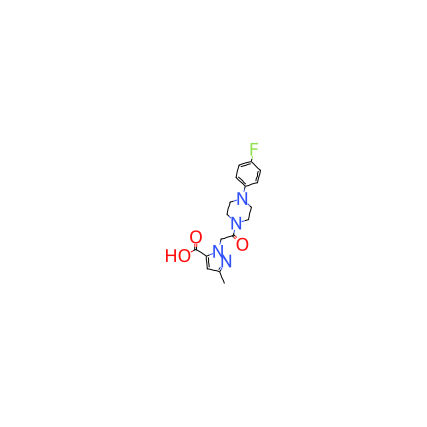 Cc1cc(C(=O)O)n(CC(=O)N2CCN(c3ccc(F)cc3)CC2)n1